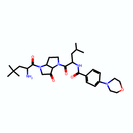 CC(C)CC(NC(=O)c1ccc(N2CCOCC2)cc1)C(=O)N1CCC2C1C(=O)CN2C(=O)C(N)CC(C)(C)C